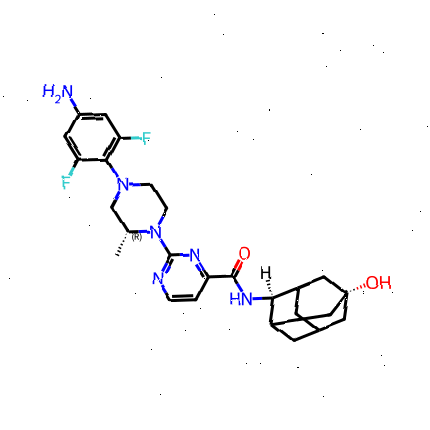 C[C@@H]1CN(c2c(F)cc(N)cc2F)CCN1c1nccc(C(=O)N[C@H]2C3CC4CC2C[C@](O)(C4)C3)n1